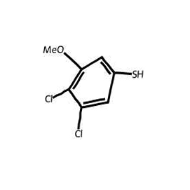 COc1cc(S)cc(Cl)c1Cl